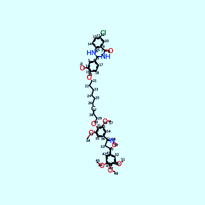 COc1cc(C2NC(=O)c3cc(Cl)ccc3N2)ccc1OCCCCCCCCCOc1c(OC)cc(C2=NOC(c3cc(OC)c(OC)c(OC)c3)C2)cc1OC